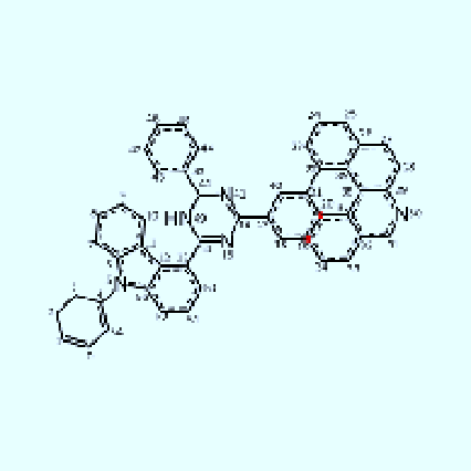 C1=CCCC(n2c3ccccc3c3c(C4=NC(c5cccc(-c6cccc7ccc8ncc9ccccc9c8c67)c5)=NC(c5ccccc5)N4)cccc32)=C1